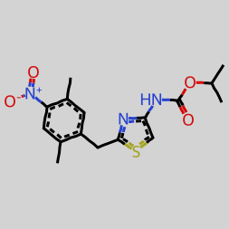 Cc1cc([N+](=O)[O-])c(C)cc1Cc1nc(NC(=O)OC(C)C)cs1